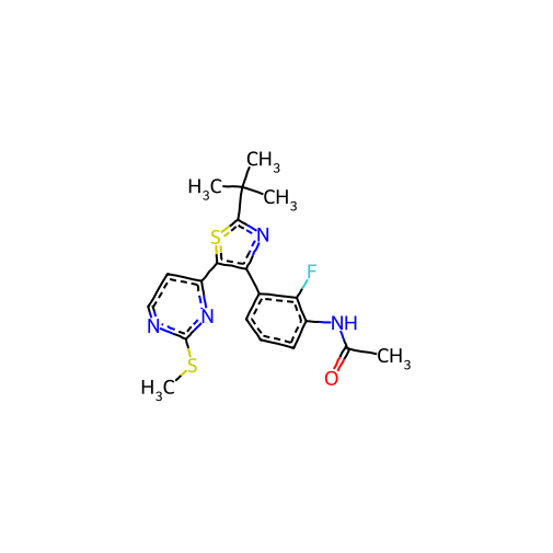 CSc1nccc(-c2sc(C(C)(C)C)nc2-c2cccc(NC(C)=O)c2F)n1